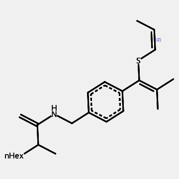 C=C(NCc1ccc(C(S/C=C\C)=C(C)C)cc1)C(C)CCCCCC